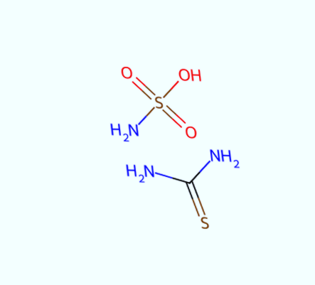 NC(N)=S.NS(=O)(=O)O